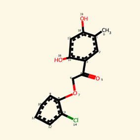 Cc1cc(C(=O)COc2ccccc2Cl)c(O)cc1O